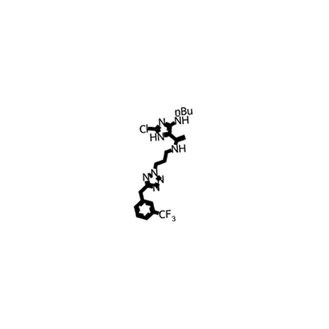 C=C(NCCCn1nnc(Cc2cccc(C(F)(F)F)c2)n1)c1[nH]c(Cl)nc1NCCCC